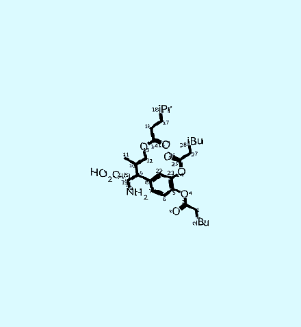 CCC(C)CC(=O)Oc1ccc(C(C(C)COC(=O)CCC(C)C)[C@H](N)C(=O)O)cc1OC(=O)CC(C)CC